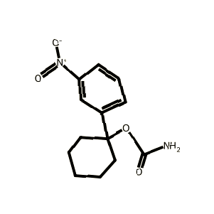 NC(=O)OC1(c2cccc([N+](=O)[O-])c2)CCCCC1